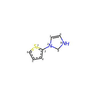 C1=CN(c2cccs2)CN1